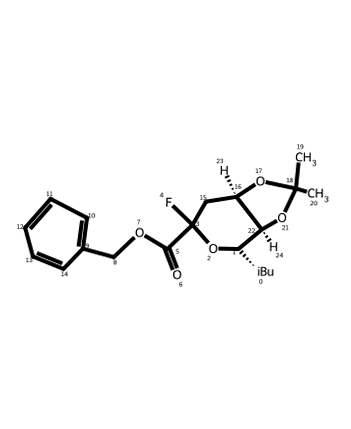 CC[C@@H](C)C1OC(F)(C(=O)OCc2ccccc2)C[C@H]2OC(C)(C)O[C@@H]12